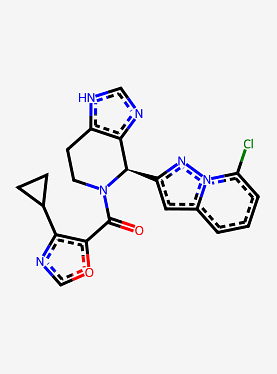 O=C(c1ocnc1C1CC1)N1CCc2[nH]cnc2[C@H]1c1cc2cccc(Cl)n2n1